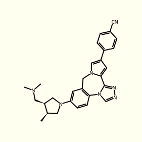 C[C@@H]1CN(c2ccc3c(c2)Cn2cc(-c4ccc(C#N)cc4)cc2-c2nncn2-3)C[C@@H]1CN(C)C